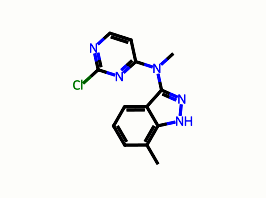 Cc1cccc2c(N(C)c3ccnc(Cl)n3)n[nH]c12